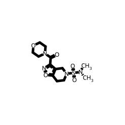 CN(C)S(=O)(=O)N1CCc2onc(C(=O)N3CCOCC3)c2C1